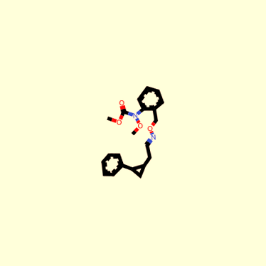 COC(=O)N(OC)c1ccccc1CON=CCC1CC1c1ccccc1